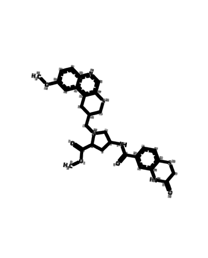 COC(=O)C1CC(NC(=O)c2ccc3c(c2)NC(=O)CS3)CN1CC1CSc2cnc3ccc(OC)cc3c2C1